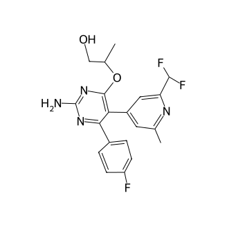 Cc1cc(-c2c(OC(C)CO)nc(N)nc2-c2ccc(F)cc2)cc(C(F)F)n1